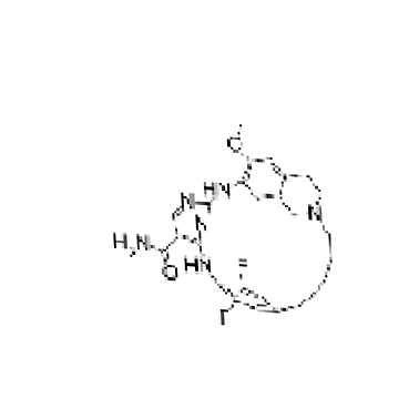 COc1cc2c3cc1Nc1ncc(C(N)=O)c(n1)Nc1c(F)cc(cc1F)CCCCCN(CC2)C3